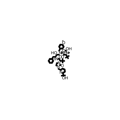 COc1ccc(CN(CC(O)C(Cc2ccccc2)NC(=O)C(N2CCN(Cc3cccc(C(C)(C)O)n3)C2=O)C(C)(C)C)NC(=O)C(N(C)C(=O)O)C(C)(C)C)cc1